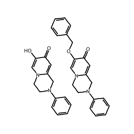 O=c1cc2n(cc1O)CCN(c1ccccc1)C2.O=c1cc2n(cc1OCc1ccccc1)CCN(c1ccccc1)C2